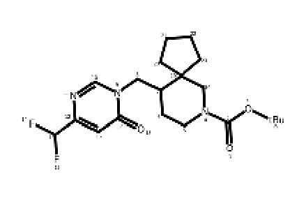 CC(C)(C)OC(=O)N1CCC(Cn2cnc(C(F)F)cc2=O)C2(CCCC2)C1